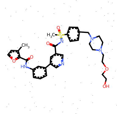 Cc1ccoc1C(=O)Nc1cccc(-c2cncc(C(=O)N=S(C)(=O)c3ccc(CN4CCN(CCOCCO)CC4)cc3)c2)c1